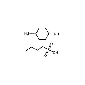 CCCCS(=O)(=O)O.NC1CCC(N)CC1